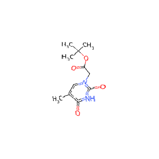 Cc1cn(CC(=O)OC(C)(C)C)c(=O)[nH]c1=O